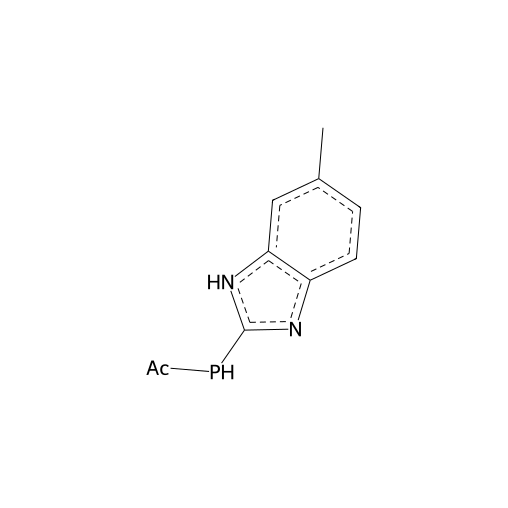 CC(=O)Pc1nc2ccc(C)cc2[nH]1